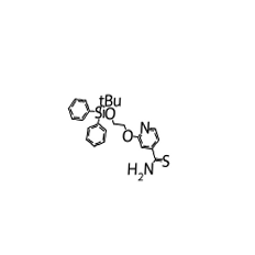 CC(C)(C)[Si](OCCOc1cc(C(N)=S)ccn1)(c1ccccc1)c1ccccc1